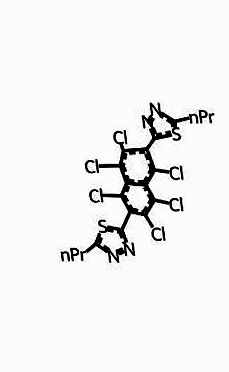 CCCc1nnc(-c2c(Cl)c(Cl)c3c(Cl)c(-c4nnc(CCC)s4)c(Cl)c(Cl)c3c2Cl)s1